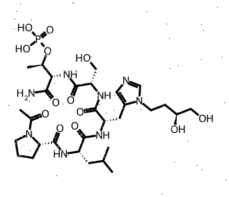 CC(=O)N1CCC[C@H]1C(=O)N[C@@H](CC(C)C)C(=O)N[C@@H](Cc1cncn1CC[C@H](O)CO)C(=O)N[C@@H](CO)C(=O)N[C@H](C(N)=O)[C@@H](C)OP(=O)(O)O